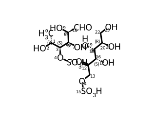 C[C@@H](O)[C@H](OS(=O)(=O)O)[C@H](O)[C@@H](O)C=O.O=C(COS(=O)(=O)O)[C@@H](O)[C@H](O)[C@H](O)CO